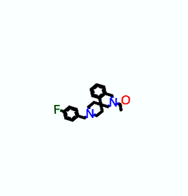 CC(=O)N1Cc2ccccc2C2(CCN(Cc3ccc(F)cc3)CC2)C1